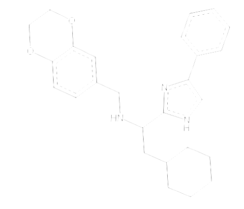 c1ccc(-c2c[nH]c(C(CC3CCCCC3)NCc3ccc4c(c3)OCCO4)n2)cc1